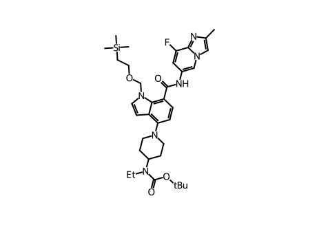 CCN(C(=O)OC(C)(C)C)C1CCN(c2ccc(C(=O)Nc3cc(F)c4nc(C)cn4c3)c3c2ccn3COCC[Si](C)(C)C)CC1